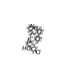 OC1(c2ccc(Cl)cc2)CCN(CCC=C2Cc3c(cccc3-c3ccccc3)Oc3ncccc32)CC1